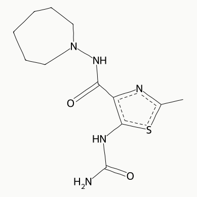 Cc1nc(C(=O)NN2CCCCCC2)c(NC(N)=O)s1